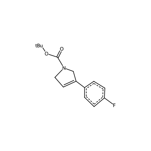 CC(C)(C)OC(=O)N1CC=C(c2ccc(F)cc2)C1